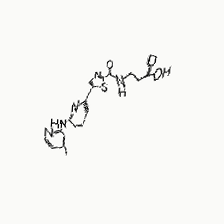 Cc1ccnc(Nc2cccc(-c3cnc(C(=O)NCCC(=O)O)s3)n2)c1